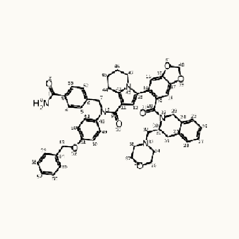 NC(=O)c1ccc(CN(C(=O)c2cc(-c3cc4c(cc3C(=O)N3Cc5ccccc5C[C@H]3CN3CCOCC3)OCO4)n3c2CCCC3)c2ccc(OCc3ccccc3)cc2)cc1